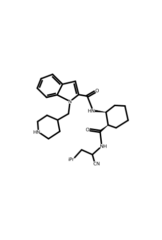 CC(C)CC(C#N)NC(=O)[C@@H]1CCCC[C@@H]1NC(=O)c1cc2ccccc2n1CC1CCNCC1